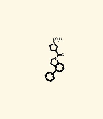 O=C(O)N1CCC(C(=O)N2CCc3c(-c4ccccc4)cccc32)C1